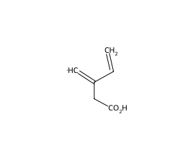 [CH]=C(C=C)CC(=O)O